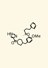 COc1ccc(CC2CCN(C(=O)c3c[nH]cn3)CC2)cc1O[C@H](C)CCCc1ccccc1